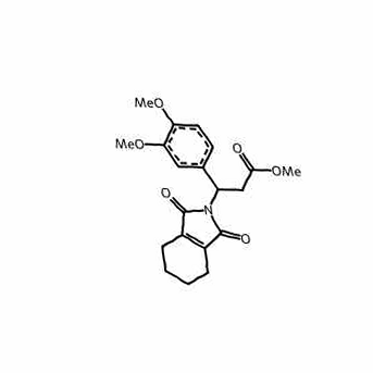 COC(=O)CC(c1ccc(OC)c(OC)c1)N1C(=O)C2=C(CCCC2)C1=O